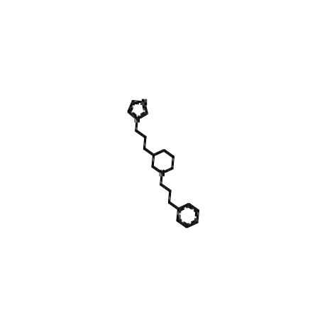 c1ccc(CCCN2CCCC(CCCn3ccnc3)C2)cc1